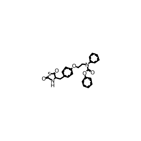 O=C1NC(Cc2ccc(OCCN(C(=O)Oc3ccccc3)c3ccccc3)cc2)C(=O)S1